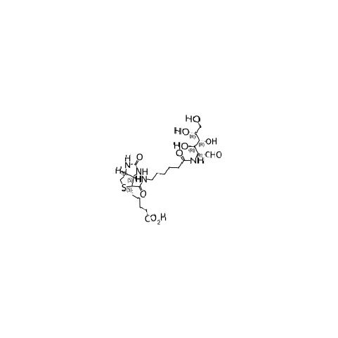 O=C[C@H](NC(=O)CCCCCNC(=O)[C@@]1(CCCCC(=O)O)SC[C@@H]2NC(=O)N[C@@H]21)[C@@H](O)[C@@H](O)[C@H](O)CO